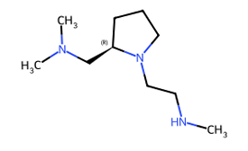 CNCCN1CCC[C@@H]1CN(C)C